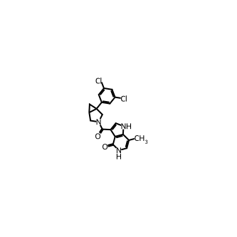 Cc1c[nH]c(=O)c2c(C(=O)N3CC4CC4(c4cc(Cl)cc(Cl)c4)C3)c[nH]c12